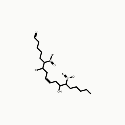 CCCCCC(C(O)C/C=C\CC(O)C(CCCCC=O)[N+](=O)[O-])[N+](=O)[O-]